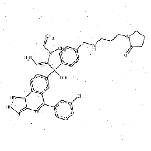 C=CN(C)/C(=C\N)C(O)(c1ccc(CNCCCN2CCCC2=O)cc1)c1ccc2c(c1)C(c1cccc(Cl)c1)=NC1=NNNN12